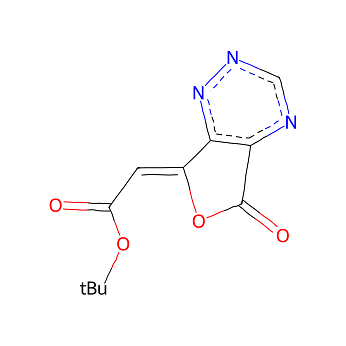 CC(C)(C)OC(=O)C=C1OC(=O)c2ncnnc21